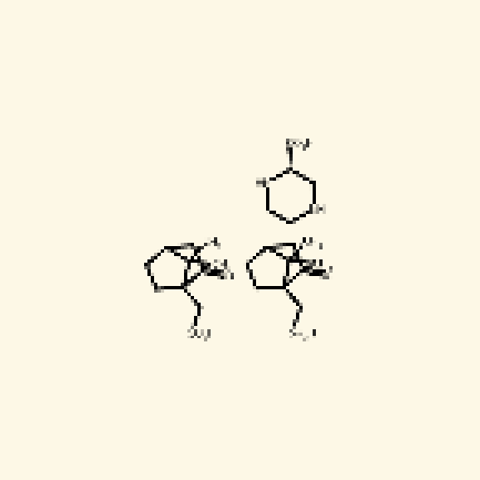 CC1(C)C2CCC1(CS(=O)(=O)O)C(=O)C2.CC1(C)C2CCC1(CS(=O)(=O)O)C(=O)C2.O=C(O)[C@H]1CNCCN1